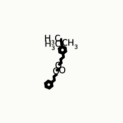 CCC(C)(C)c1ccc(CCCOC(=O)OCCCc2ccccc2)cc1